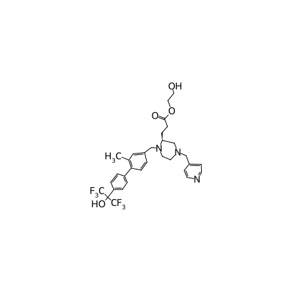 Cc1cc(CN2CCN(Cc3ccncc3)C[C@@H]2CCC(=O)OCCO)ccc1-c1ccc(C(O)(C(F)(F)F)C(F)(F)F)cc1